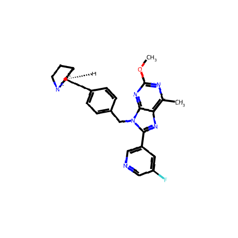 COc1nc(C)c2nc(-c3cncc(F)c3)n(Cc3ccc([C@@H]4CN5CCC4CC5)cc3)c2n1